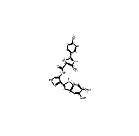 COc1cc2nc(-c3n[nH]cc3NC(=O)c3[nH]c(-c4ccc(Cl)cc4)nc3C)[nH]c2cc1OC